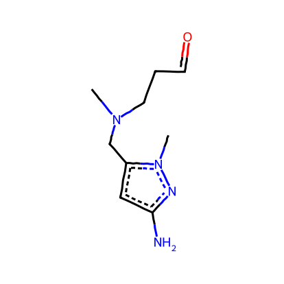 CN(CCC=O)Cc1cc(N)nn1C